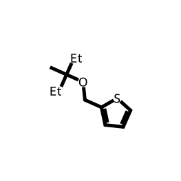 CCC(C)(CC)OCc1cccs1